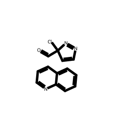 O=CC1(Cl)C=CN=N1.c1ccc2ncccc2c1